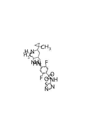 CC(N)C(CNc1cc(F)c(S(=O)(=O)Nc2ncns2)cc1F)CC(N)C1(C)CC1